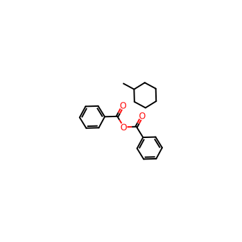 CC1CCCCC1.O=C(OC(=O)c1ccccc1)c1ccccc1